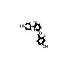 N#Cc1ccc(COc2ccc(F)c(N3CCNCC3)n2)c(F)c1